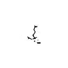 C=CS(=O)(=O)C(C)(CC(C)(C)C)C(=O)[C@@H](N)CC(=O)O